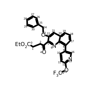 CCOC(=O)CCC(=O)c1nc2c(-c3ccc(OC(F)(F)F)nc3)cccc2cc1OCc1ccccc1